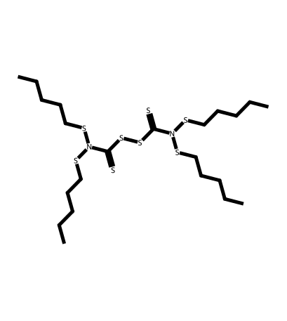 CCCCCSN(SCCCCC)C(=S)SSC(=S)N(SCCCCC)SCCCCC